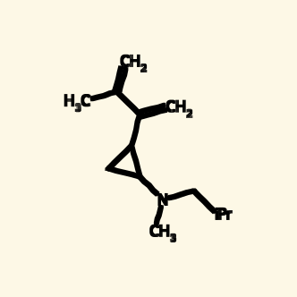 C=C(C)C(=C)C1CC1N(C)CC(C)C